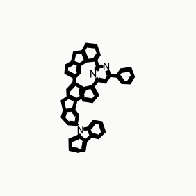 c1ccc(-c2cc(-c3ccccc3)nc(-c3cccc4c3-c3cc(-c5ccc6c(c5)Cc5ccc(-n7c8ccccc8c8ccccc87)cc5-6)ccc3C4)n2)cc1